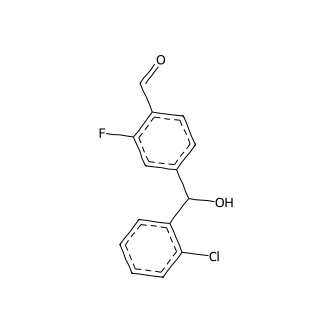 O=Cc1ccc(C(O)c2ccccc2Cl)cc1F